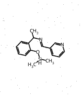 CC(N=Cc1cccnc1)c1ccccc1O[SiH](C)C